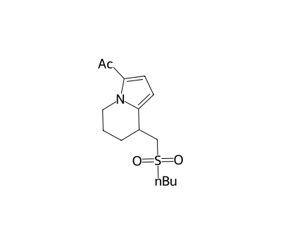 CCCCS(=O)(=O)CC1CCCn2c(C(C)=O)ccc21